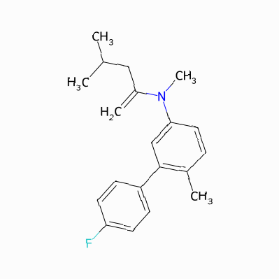 C=C(CC(C)C)N(C)c1ccc(C)c(-c2ccc(F)cc2)c1